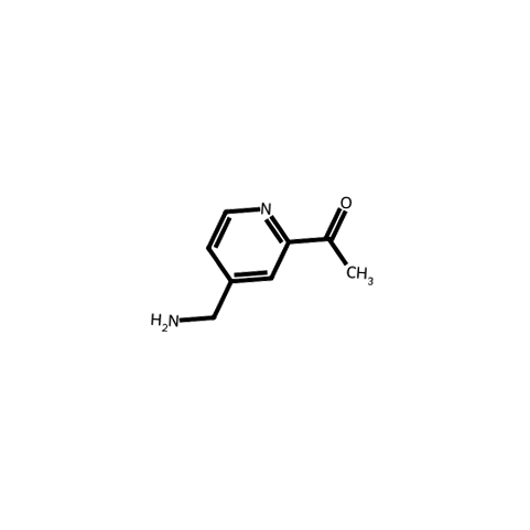 CC(=O)c1cc(CN)ccn1